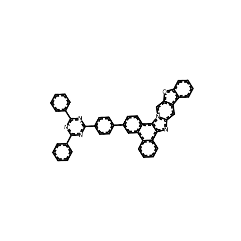 c1ccc(-c2nc(-c3ccccc3)nc(-c3ccc(-c4ccc5c(c4)c4ccccc4c4nc6cc7c(cn6c54)oc4ccccc47)cc3)n2)cc1